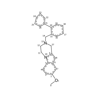 COc1ccc2c(c1)cc1n2CCN(Cc2ccccc2-c2ccccc2)C1